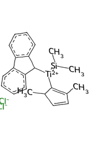 CC1=[C]([Ti+2]([CH]2c3ccccc3-c3ccccc32)=[Si](C)C)C(C)C=C1.[Cl-].[Cl-]